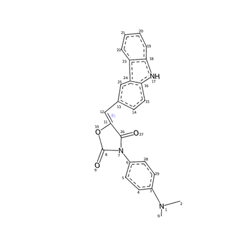 CN(C)c1ccc(N2C(=O)O/C(=C/c3ccc4[nH]c5ccccc5c4c3)C2=O)cc1